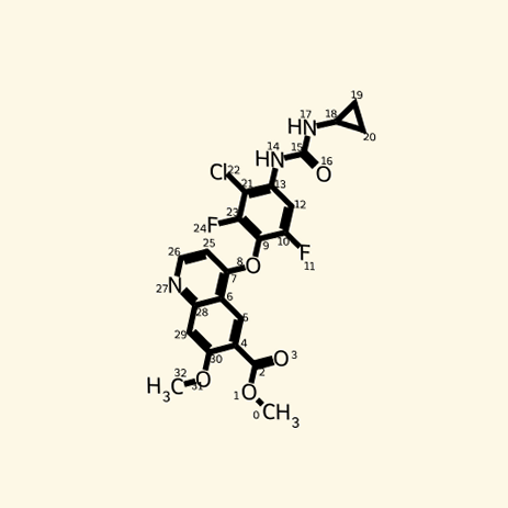 COC(=O)c1cc2c(Oc3c(F)cc(NC(=O)NC4CC4)c(Cl)c3F)ccnc2cc1OC